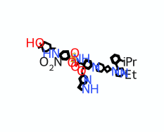 CCN1CCN(C2CC3(CCN(c4ccc(C(=O)NS(=O)(=O)c5ccc(NCC6CCC(C)(O)CC6)c([N+](=O)[O-])c5)c(Oc5cnc6[nH]ccc6c5)c4)CC3)C2)C(c2ccccc2C(C)C)C1